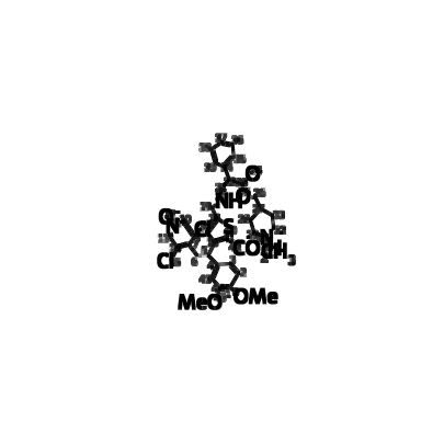 COc1ccc([C@H](Cc2c(Cl)c[n+]([O-])cc2Cl)c2cc(CNCC(C(=O)OCC3CCN(C)CC3)c3ccccc3)sc2C(=O)O)cc1OC